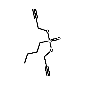 C#CCOP(=O)(CCCC)OCC#C